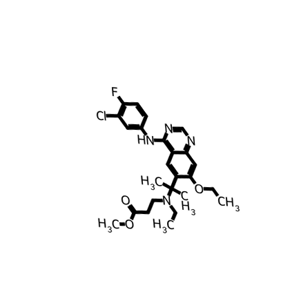 CCOc1cc2ncnc(Nc3ccc(F)c(Cl)c3)c2cc1C(C)(C)N(CC)CCC(=O)OC